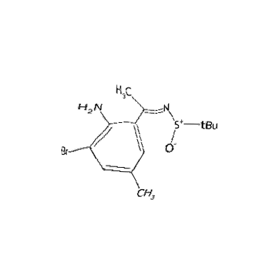 C/C(=N/[S+]([O-])C(C)(C)C)c1cc(C)cc(Br)c1N